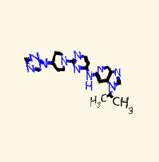 CC(C)n1cnc2cnc(Nc3ccnc(N4CCC(n5cncn5)CC4)n3)cc21